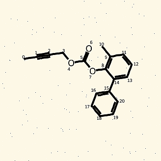 CC#CCOC(=O)Oc1c(C)cccc1-c1ccccc1